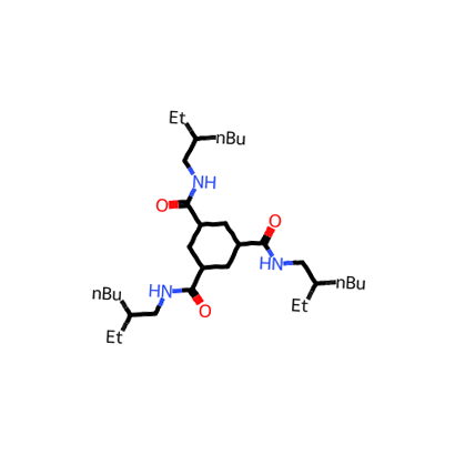 CCCCC(CC)CNC(=O)C1CC(C(=O)NCC(CC)CCCC)CC(C(=O)NCC(CC)CCCC)C1